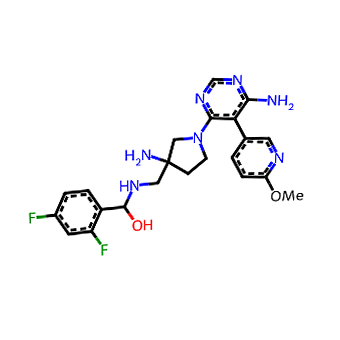 COc1ccc(-c2c(N)ncnc2N2CCC(N)(CNC(O)c3ccc(F)cc3F)C2)cn1